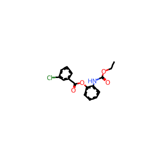 CCOC(=O)Nc1ccccc1OC(=O)c1cccc(Cl)c1